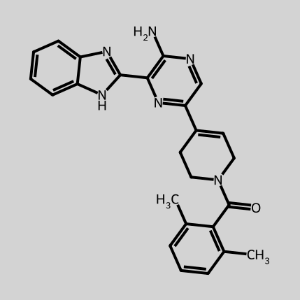 Cc1cccc(C)c1C(=O)N1CC=C(c2cnc(N)c(-c3nc4ccccc4[nH]3)n2)CC1